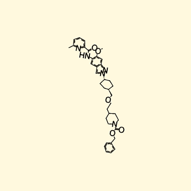 COc1cc2nn([C@H]3CC[C@H](COCCC4CCN(C(=O)OCc5ccccc5)CC4)CC3)cc2cc1NC(=O)c1cccc(C)n1